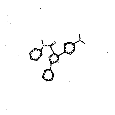 CN(C)c1ccc(-c2oc(-c3ccccc3)nc2C(=O)N(C)c2ccccc2)cc1